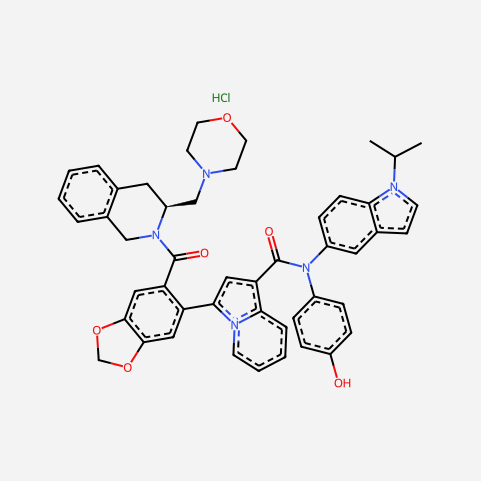 CC(C)n1ccc2cc(N(C(=O)c3cc(-c4cc5c(cc4C(=O)N4Cc6ccccc6C[C@H]4CN4CCOCC4)OCO5)n4ccccc34)c3ccc(O)cc3)ccc21.Cl